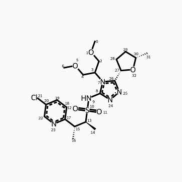 COCC(COC)n1c(NS(=O)(=O)[C@@H](C)[C@H](C)c2ccc(Cl)cn2)nnc1[C@@H]1CC[C@H](C)O1